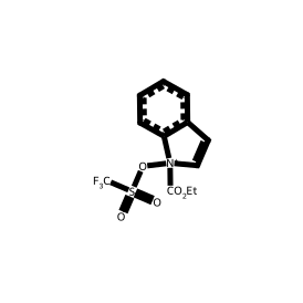 CCOC(=O)[N+]1(OS(=O)(=O)C(F)(F)F)C=Cc2ccccc21